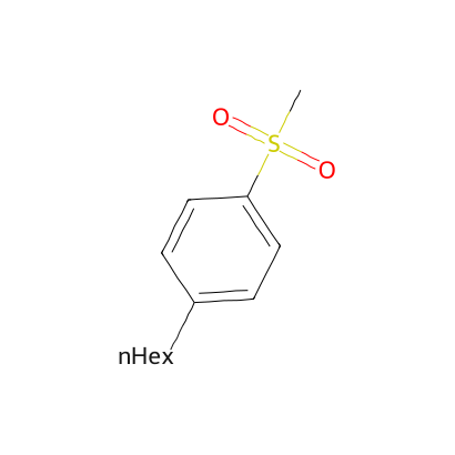 [CH2]CCCCCc1ccc(S(C)(=O)=O)cc1